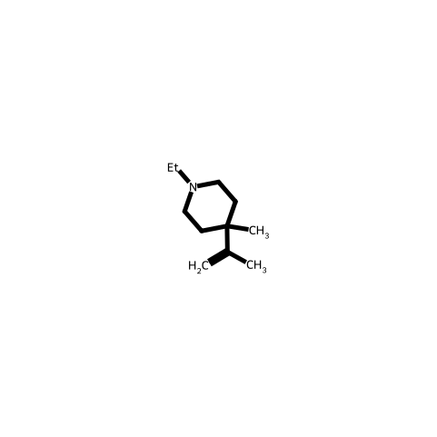 C=C(C)C1(C)CCN(CC)CC1